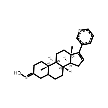 C[C@]12CCC(=NO)CC1CC[C@@H]1[C@@H]2CC[C@]2(C)C(c3cccnc3)=CC[C@@H]12